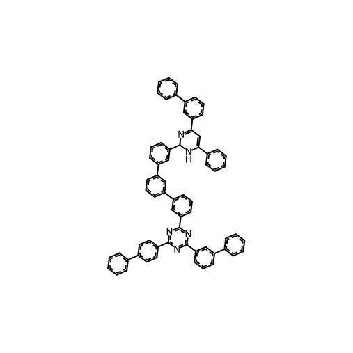 C1=C(c2ccccc2)NC(c2cccc(-c3cccc(-c4cccc(-c5nc(-c6ccc(-c7ccccc7)cc6)nc(-c6cccc(-c7ccccc7)c6)n5)c4)c3)c2)N=C1c1cccc(-c2ccccc2)c1